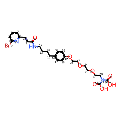 O=C(/C=C/c1cccc(Br)n1)NCCCCc1ccc(OCCOCCOCCN(C(=O)O)C(=O)O)cc1